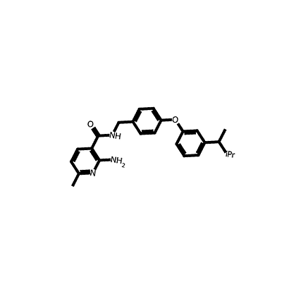 Cc1ccc(C(=O)NCc2ccc(Oc3cccc(C(C)C(C)C)c3)cc2)c(N)n1